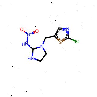 O=[N+]([O-])NC1NCCN1Cc1cnc(Br)s1